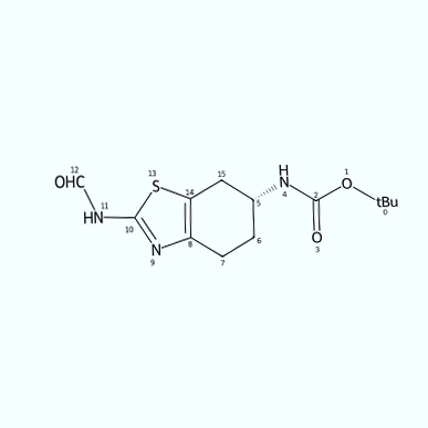 CC(C)(C)OC(=O)N[C@@H]1CCc2nc(NC=O)sc2C1